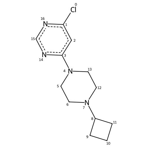 Clc1cc(N2CCN(C3CCC3)CC2)ncn1